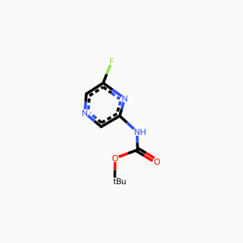 CC(C)(C)OC(=O)Nc1cncc(F)n1